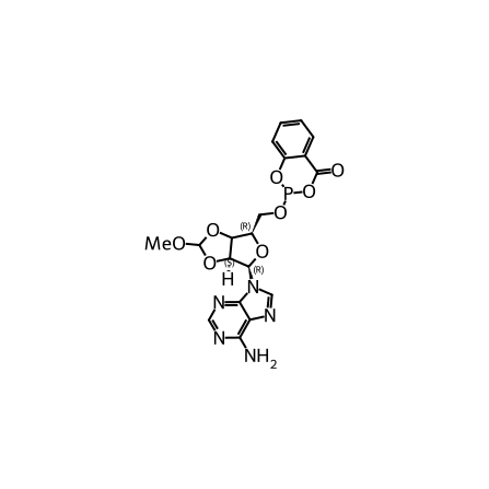 COC1OC2[C@@H](COP3OC(=O)c4ccccc4O3)O[C@@H](n3cnc4c(N)ncnc43)[C@H]2O1